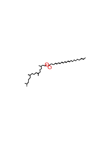 CCCCCCCCCC=CC=CC=CC=CC=CC=CC(=O)OCCC(C)CCCC(C)CCCC(C)CCCC(C)C